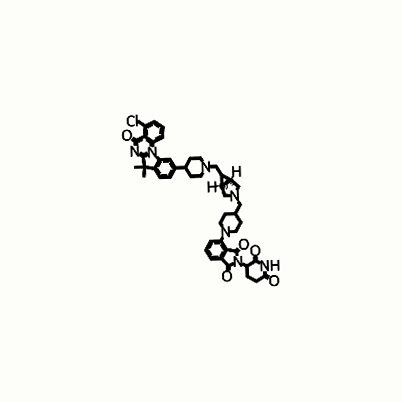 CC1(C)c2ccc(C3CCN(CC4[C@H]5CN(CC6CCN(c7cccc8c7C(=O)N(C7CCC(=O)NC7=O)C8=O)CC6)C[C@@H]45)CC3)cc2-n2c1nc(=O)c1c(Cl)cccc12